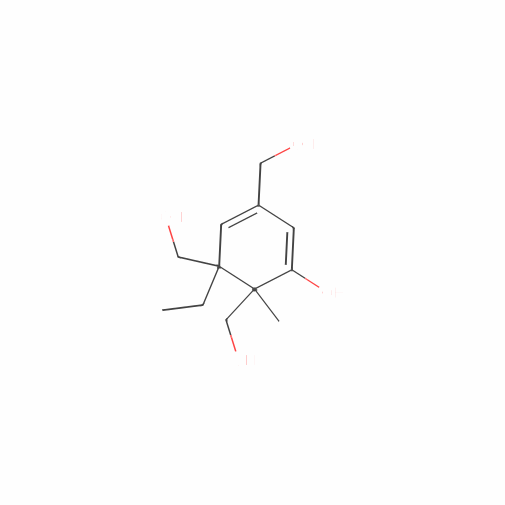 CCC1(CO)C=C(CO)C=C(O)C1(C)CO